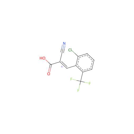 N#C/C(=C\c1c(Cl)cccc1C(F)(F)F)C(=O)O